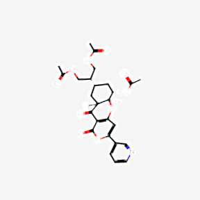 CC(=O)OCC(COC(C)=O)[C@@H]1C[C@H](OC(C)=O)[C@@]2(C)Oc3cc(-c4cccnc4)oc(=O)c3C(=O)[C@@H]2C1